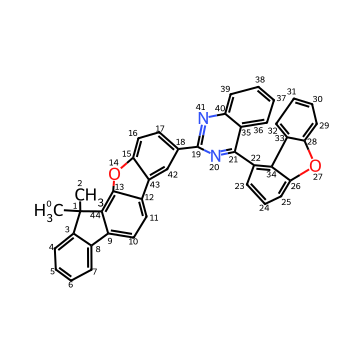 CC1(C)c2ccccc2-c2ccc3c(oc4ccc(-c5nc(-c6cccc7oc8ccccc8c67)c6ccccc6n5)cc43)c21